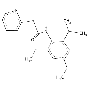 CCc1cc(CC)c(NC(=O)Cc2ccccn2)c(C(C)C)c1